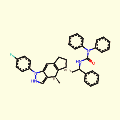 C[C@H]1C2=CNN(c3ccc(F)cc3)C2=CC2=C1[C@@H](CC(NC(=O)N(c1ccccc1)c1ccccc1)c1ccccc1)CC2